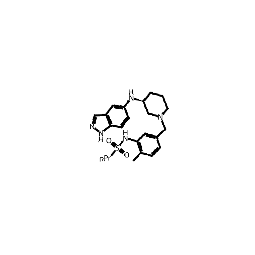 CCCS(=O)(=O)Nc1cc(CN2CCC[C@H](Nc3ccc4[nH]ncc4c3)C2)ccc1C